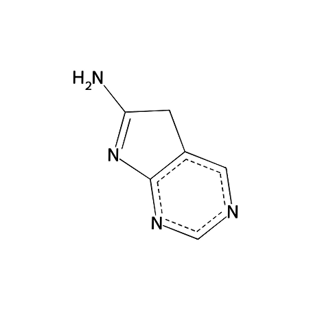 NC1=Nc2ncncc2C1